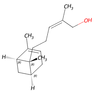 CC(=CCC[C@]1(C)[C@H]2CC=C(C)[C@@H]1C2)CO